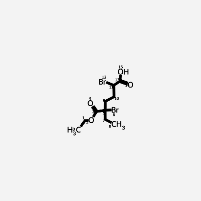 CCOC(=O)C(Br)(CC)CCC(Br)C(=O)O